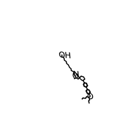 CCCCC(CCC)Oc1ccc(-c2ccc(C3CCCC(C#N)(CC(C)OCCCCCCCCCCCO)C3)cc2)cc1